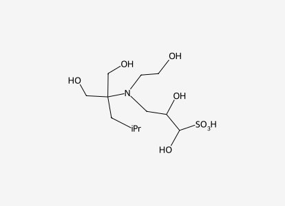 CC(C)CC(CO)(CO)N(CCO)CC(O)C(O)S(=O)(=O)O